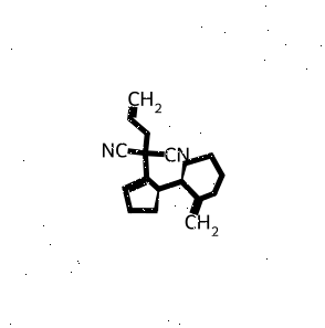 C=CCC(C#N)(C#N)C1=CCC[C@@H]1[C@H]1CCCCC1=C